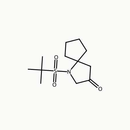 CC(C)(C)S(=O)(=O)N1CC(=O)CC12CCCC2